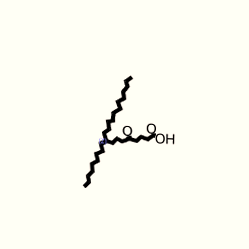 CCCCCCCC/C=C(/CCCCCCCCCCCC)CCCC(=O)CCCC(=O)O